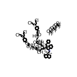 C[N+](C)(CCCN(CCC[N+](C)(C)CC(=O)NCCNC(=O)COc1ccc(N(CCCl)CCCl)cc1)C1=C/C(=C\c2sc3cccc4c3[n+]2CCC4)c2ccccc2N1Cc1ccccc1)CC(=O)NCCNC(=O)COc1ccc(N(CCCl)CCCl)cc1.O=C([O-])C(F)(F)F.O=C([O-])C(F)(F)F.O=C([O-])C(F)(F)F